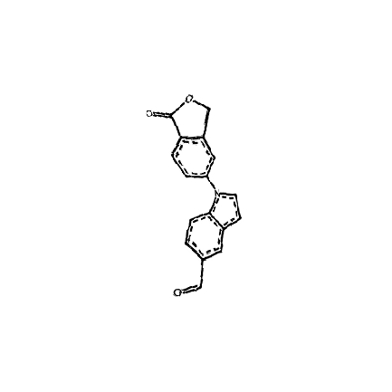 O=Cc1ccc2c(ccn2-c2ccc3c(c2)COC3=O)c1